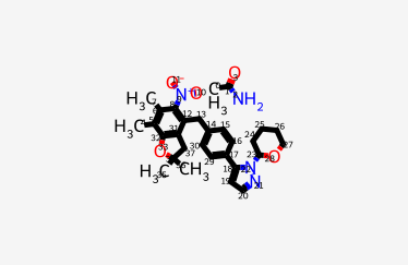 CC(N)=O.Cc1c(C)c([N+](=O)[O-])c(Cc2ccc(-c3ccnn3C3CCCCO3)cc2)c2c1OC(C)(C)C2